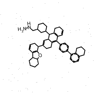 NNCC1CCCC(C2C3=C(C=CCC3)C(c3ccc(-c4cccc5c4CCCC5)cc3)=C3CCC(C4CC=CC5=C4OC4CCCCC54)=CC32)C1